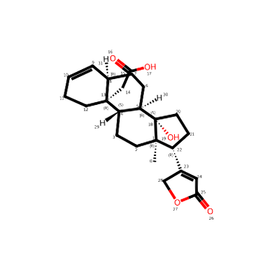 C[C@]12CC[C@H]3[C@@H](CC[C@@H]4C=CCC[C@@]43CC(=O)O)[C@@]1(O)CC[C@@H]2C1=CC(=O)OC1